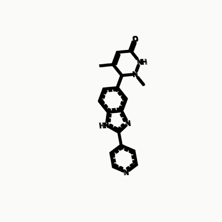 CC1=CC(=O)NN(C)C1c1ccc2[nH]c(-c3ccncc3)nc2c1